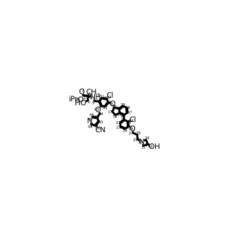 CC(C)OC(=O)[C@](C)(CO)NCc1cc(Cl)c(O[C@H]2CCc3c(-c4cccc(OCCCN5CC(O)C5)c4Cl)cccc32)cc1OCc1cncc(C#N)c1